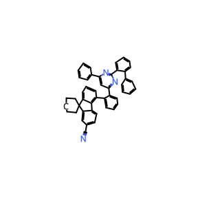 N#Cc1ccc2c(c1)C1(CCCCC1)c1cccc(-c3ccccc3-c3cc(-c4ccccc4)nc(-c4ccccc4-c4ccccc4)n3)c1-2